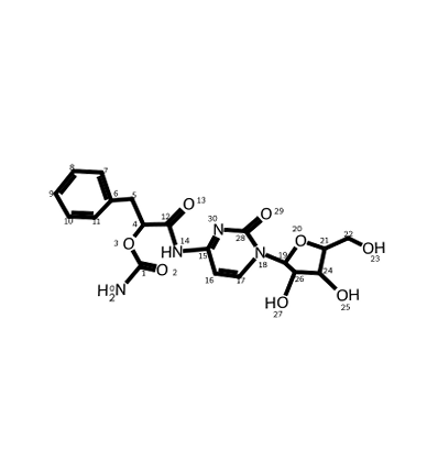 NC(=O)OC(Cc1ccccc1)C(=O)Nc1ccn(C2OC(CO)C(O)C2O)c(=O)n1